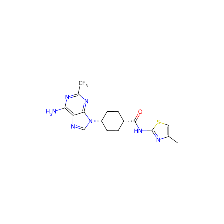 Cc1csc(NC(=O)[C@H]2CC[C@@H](n3cnc4c(N)nc(C(F)(F)F)nc43)CC2)n1